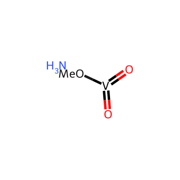 C[O][V](=[O])=[O].N